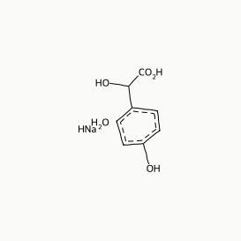 O.O=C(O)C(O)c1ccc(O)cc1.[NaH]